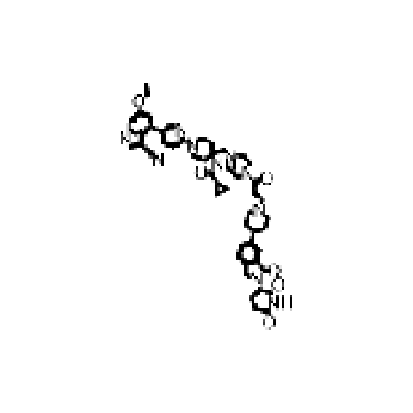 CCOc1cc(-c2ccc(N3CCC(CN4CCN(C(=O)CCN5CCC(c6ccc7c(c6)C(=O)N(C6CCC(=O)NC6=O)C7)CC5)CC4)(NC(=O)C4CC4)CC3)nc2)c2c(C#N)cnn2c1